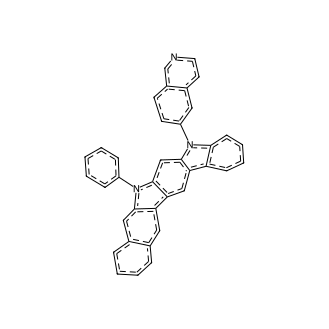 c1ccc(-n2c3cc4ccccc4cc3c3cc4c5ccccc5n(-c5ccc6cnccc6c5)c4cc32)cc1